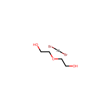 OCCOCCO.[Br][Ni][Br]